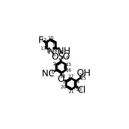 N#Cc1cc(S(=O)(=O)Nc2ccc(F)cn2)ccc1Oc1ccc(Cl)c(CO)c1